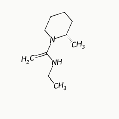 C=C(NCC)N1CCCC[C@@H]1C